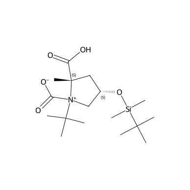 CC(C)(C)[N+]1(C(=O)[O-])C[C@@H](O[Si](C)(C)C(C)(C)C)C[C@@]1(C)C(=O)O